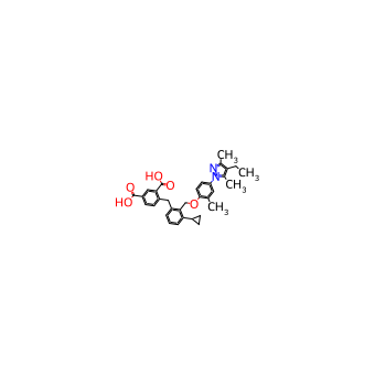 CCc1c(C)nn(-c2ccc(OCc3c(Cc4ccc(C(=O)O)cc4C(=O)O)cccc3C3CC3)c(C)c2)c1C